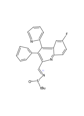 CC(C)(C)[S+]([O-])/N=C/c1nc2ccc(F)cc2c(-c2ccccn2)c1-c1ccccc1